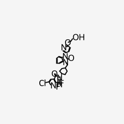 O=C(NC1CCC(Cn2c(=O)n(-c3ccc(OCCO)nc3)c3ccccc32)CC1)c1cc(Cl)cnc1C(F)(F)F